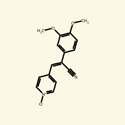 COc1ccc(C(C#N)=Cc2cc[n+]([O-])cc2)cc1OC